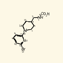 O=C(O)NCC1CCN(c2cccc(Br)n2)CC1